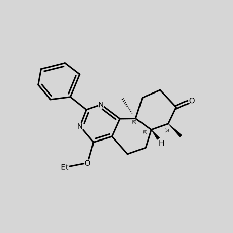 CCOc1nc(-c2ccccc2)nc2c1CC[C@H]1[C@H](C)C(=O)CC[C@]21C